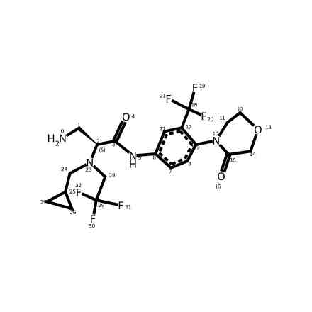 NC[C@@H](C(=O)Nc1ccc(N2CCOCC2=O)c(C(F)(F)F)c1)N(CC1CC1)CC(F)(F)F